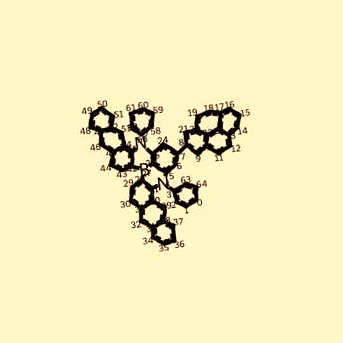 c1ccc(N2c3cc(-c4cc5ccc6cccc7ccc(c4)c5c67)cc4c3B(c3ccc5cc6ccccc6cc5c32)c2ccc3cc5ccccc5cc3c2N4c2ccccc2)cc1